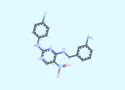 Nc1cccc(CNc2nc(Nc3ccc(Cl)cc3)ncc2[N+](=O)[O-])c1